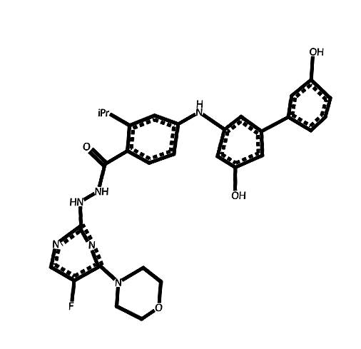 CC(C)c1cc(Nc2cc(O)cc(-c3cccc(O)c3)c2)ccc1C(=O)NNc1ncc(F)c(N2CCOCC2)n1